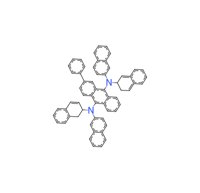 C1=CC(N(c2ccc3ccccc3c2)c2c3ccccc3c(N(c3ccc4ccccc4c3)C3C=c4ccccc4=CC3)c3cc(-c4ccccc4)ccc23)Cc2ccccc21